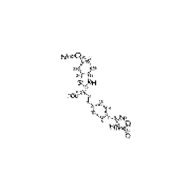 CCCCN(CCc1ccc(-c2noc(=O)[nH]2)cc1)C1Nc2ccc(OC)cc2S1